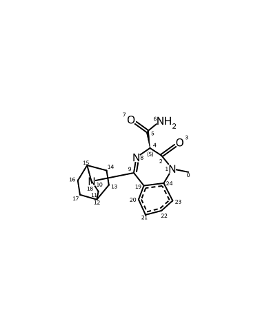 CN1C(=O)[C@H](C(N)=O)N=C(N2CC3CCC(CC3)C2)c2ccccc21